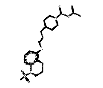 CC(C)OC(=O)N1CCC(CCCOc2cccc3c2CCCN3S(C)(=O)=O)CC1